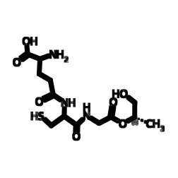 C[C@@H](CO)OC(=O)CNC(=O)C(CS)NC(=O)CCC(N)C(=O)O